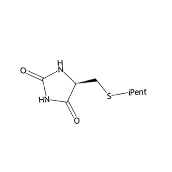 CCCC(C)SC[C@@H]1NC(=O)NC1=O